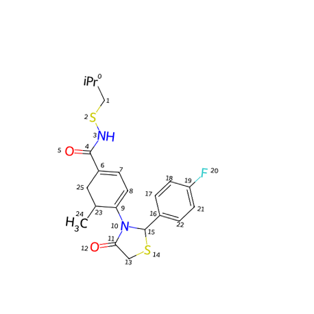 CC(C)CSNC(=O)C1=CC=C(N2C(=O)CSC2c2ccc(F)cc2)C(C)C1